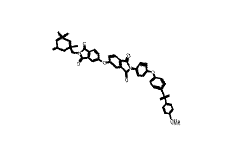 COc1ccc(C(C)(C)c2ccc(Oc3ccc(N4C(=O)c5ccc(Oc6ccc7c(c6)C(=O)N(CC6(C)CC(C)CC(C)(C)C6)C7=O)cc5C4=O)cc3)cc2)cc1